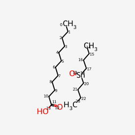 CCCCCCCCCCCC(=O)O.CCC[CH2][Sn](=[O])[CH2]CCC